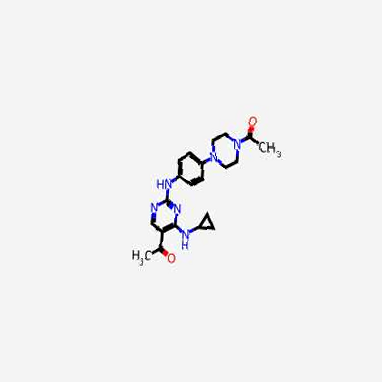 CC(=O)c1cnc(Nc2ccc(N3CCN(C(C)=O)CC3)cc2)nc1NC1CC1